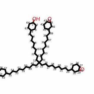 OC1CCC(CCCCCCCCCC(CCCCCCCCCC2CCC3OC3C2)(CCCCCCCCCC2CCC3OC3C2)CCCCCCCCCC2CCC3OC3C2)CC1